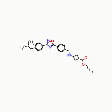 CCOC(=O)[C@H]1C[C@@H](NCc2ccc(-c3nc(-c4ccc(CC(C)C)cc4)no3)cc2)C1